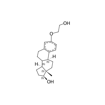 C[C@]12CC[C@@H]3c4ccc(OCCO)cc4CCC3[C@@H]1CC[C@@H]2O